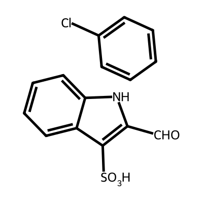 Clc1ccccc1.O=Cc1[nH]c2ccccc2c1S(=O)(=O)O